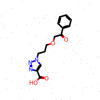 O=C(COCCCn1cc(C(=O)O)nn1)c1ccccc1